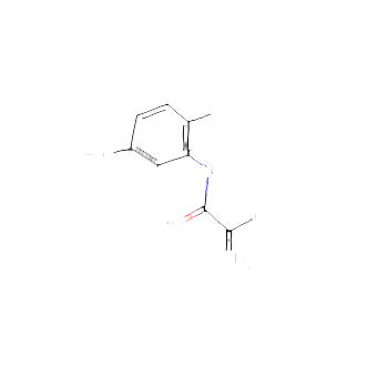 C=C(C)C(=O)Nc1cc(C)ccc1S(=O)(=O)O